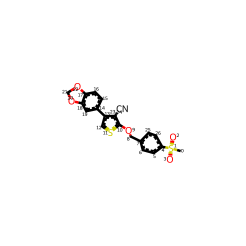 CS(=O)(=O)c1ccc(COc2scc(-c3ccc4c(c3)OCO4)c2C#N)cc1